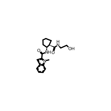 Cn1c(C(=O)N[C@H]2CCCC[C@H]2C(=O)NCCO)cc2ccccc21